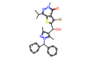 Cc1nn(C(c2ccccc2)c2ccccc2)c(C)c1C(O)c1sc2c(C(C)C)nn(C)c(=O)c2c1Br